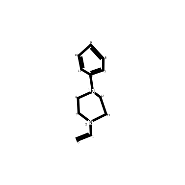 C=CN1CCN(c2ccccc2)CC1